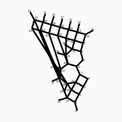 CC1C2C3CC4C5CC6C7C(C)C8(C)C9(C)C%10(C)C%11(C)C%12(C)C%13(C)C1(C)C21C34C2(C)C3(C)C4(C)C5%14C5(C)C6(C)C78C95C%10%14C%114C%123C%1321